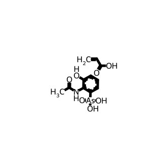 C=CC(=O)O.CC(=O)Nc1c(O)cccc1[As](=O)(O)O